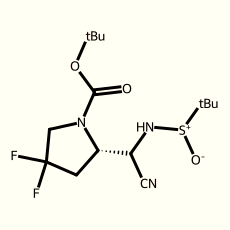 CC(C)(C)OC(=O)N1CC(F)(F)C[C@H]1C(C#N)N[S+]([O-])C(C)(C)C